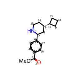 COC(=O)c1ccc([C@@H]2C[C@@H](C3CCC3)CCN2)cc1